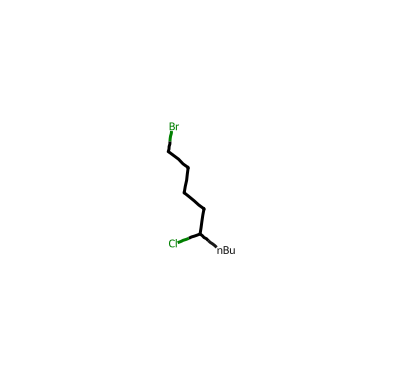 CCCCC(Cl)CCCCBr